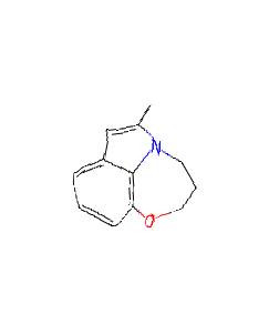 Cc1cc2cccc3c2n1CCCO3